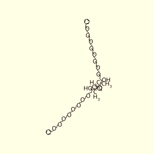 CC(C)(c1cccc(C(C)(C)C(O)CCOCCOCCOCCOCCOCCOCCOCCOCc2ccccc2)c1)C(O)CCOCCOCCOCCOCCOCCOCCOCCOCc1ccccc1